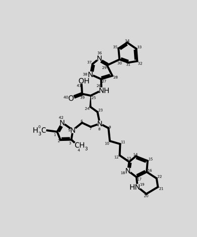 Cc1cc(C)n(CCN(CCCCc2ccc3c(n2)NCCC3)CC[C@H](Nc2cc(-c3ccccc3)ncn2)C(=O)O)n1